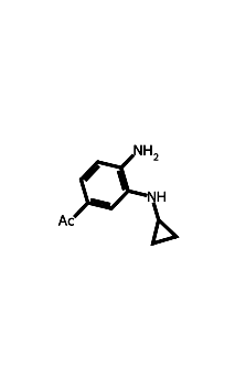 CC(=O)c1ccc(N)c(NC2CC2)c1